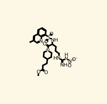 COC(=O)CCC1CCN(C(=O)C(CCCNC(=N)N[N+](=O)[O-])NS(=O)(=O)c2cccc3cc(C)cnc23)CC1